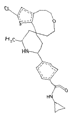 CC1CC2(CCOCCc3cc(Cl)sc32)CC(c2ccc(C(=O)NC3CC3)cc2)N1